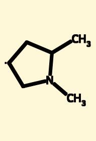 CC1C[CH]CN1C